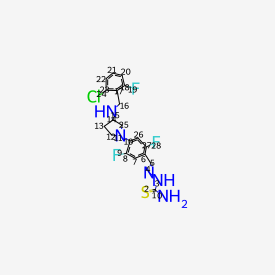 NC(=S)NN=Cc1cc(F)c(N2CC[C@H](NCc3c(F)cccc3Cl)C2)cc1F